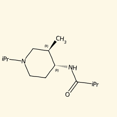 CC(C)C(=O)N[C@@H]1CCN(C(C)C)C[C@H]1C